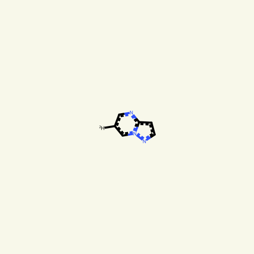 [2H]c1cnc2ccnn2c1